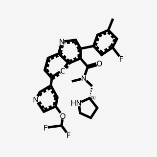 Cc1cc(F)cc(-c2cnc3ccc(-c4cncc(OC(F)F)c4)cc3c2C(=O)N(C)C[C@@H]2CCCN2)c1